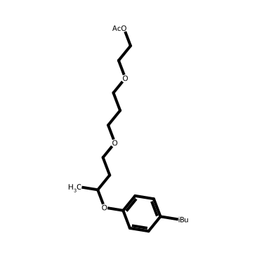 CCC(C)c1ccc(OC(C)CCOCCCOCCOC(C)=O)cc1